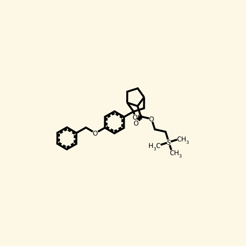 CS(C)(C)CCOC(=O)C1C2CCC1C(O)(c1ccc(OCc3ccccc3)cc1)C2